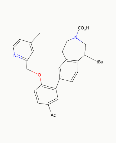 CC(=O)c1ccc(OCc2cc(C)ccn2)c(-c2ccc3c(c2)CCN(C(=O)O)CC3C(C)(C)C)c1